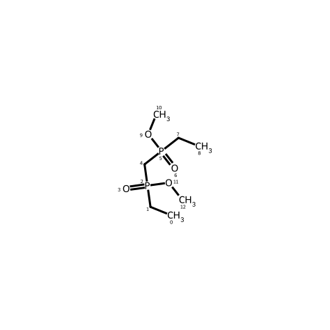 CCP(=O)(CP(=O)(CC)OC)OC